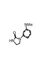 CNc1cccc(N2CCNC2=O)c1